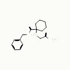 COC(=O)[C@H](C)NC1(C(=O)OCc2ccccc2)CCCCC1